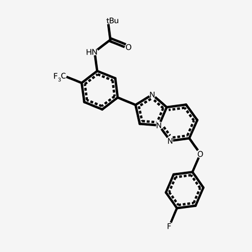 CC(C)(C)C(=O)Nc1cc(-c2cn3nc(Oc4ccc(F)cc4)ccc3n2)ccc1C(F)(F)F